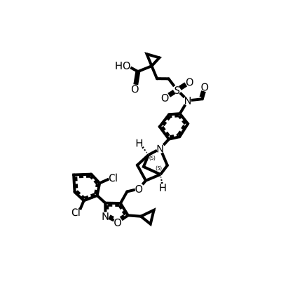 O=CN(c1ccc(N2C[C@@H]3C[C@H]2CC3OCc2c(-c3c(Cl)cccc3Cl)noc2C2CC2)cc1)S(=O)(=O)CCC1(C(=O)O)CC1